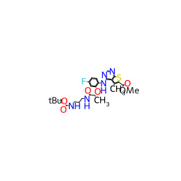 COC(=O)c1sc2ncnc(Nc3ccc(F)cc3OC(C)C(=O)NCCCNC(=O)OC(C)(C)C)c2c1C